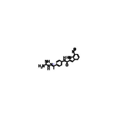 C/C(=N\NC(=N)N)c1ccc(NC(=O)c2cc3cccc(N=O)c3[nH]2)cc1